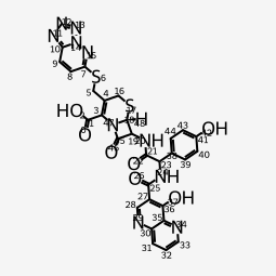 O=C(O)C1=C(CSc2ccc3nnnn3n2)CS[C@@H]2C(NC(=O)C(NC(=O)c3cnc4cccnc4c3O)c3ccc(O)cc3)C(=O)N12